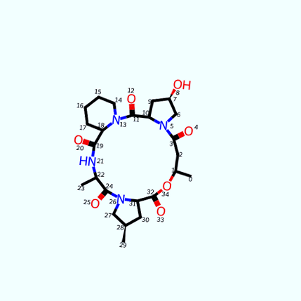 CC1CC(=O)N2C[C@H](O)CC2C(=O)N2CCCCC2C(=O)NC(C)C(=O)N2C[C@H](C)CC2C(=O)O1